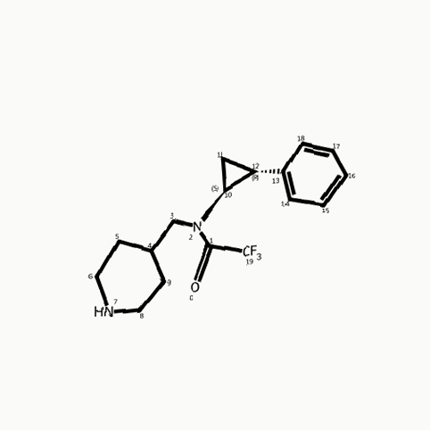 O=C(N(CC1CCNCC1)[C@H]1C[C@@H]1c1ccccc1)C(F)(F)F